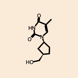 Cc1cn([C@H]2CC[C@@H](CO)C2)c(=O)[nH]c1=O